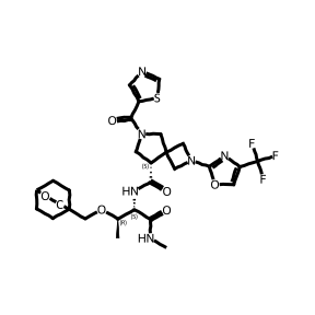 CNC(=O)[C@@H](NC(=O)[C@@H]1CN(C(=O)c2cncs2)CC12CN(c1nc(C(F)(F)F)co1)C2)[C@@H](C)OCC12CCC(CC1)OC2